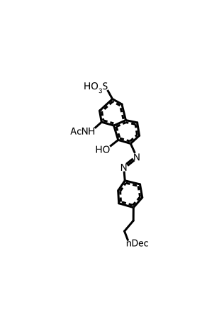 CCCCCCCCCCCCc1ccc(N=Nc2ccc3cc(S(=O)(=O)O)cc(NC(C)=O)c3c2O)cc1